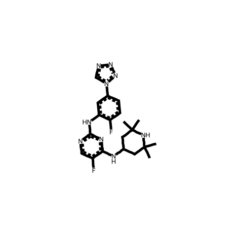 CC1(C)CC(Nc2nc(Nc3cc(-n4cnnn4)ccc3F)ncc2F)CC(C)(C)N1